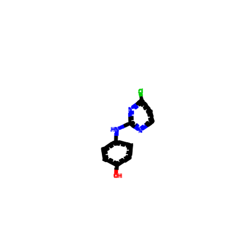 Oc1ccc(Nc2nccc(Cl)n2)cc1